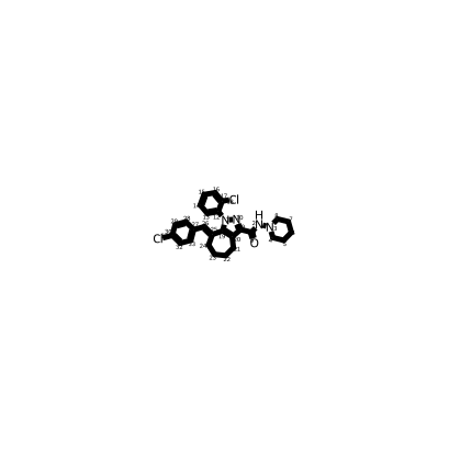 O=C(NN1CCCCC1)c1nn(-c2ccccc2Cl)c2c1CCCCC2=Cc1ccc(Cl)cc1